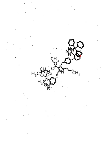 CCCCc1nc(CSc2ccc([N+](=O)[O-])c(N(C)C(=O)OC(C)(C)C)c2)c(C(=O)OCC)n1Cc1ccc(-c2ccccc2-c2nnnn2C(c2ccccc2)(c2ccccc2)c2ccccc2)cc1